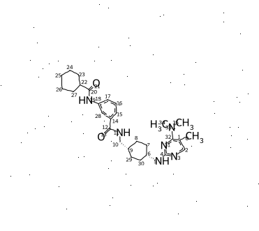 Cc1cnc(N[C@H]2CC[C@@H](CNC(=O)c3cccc(NC(=O)C4CCCCC4)c3)CC2)nc1N(C)C